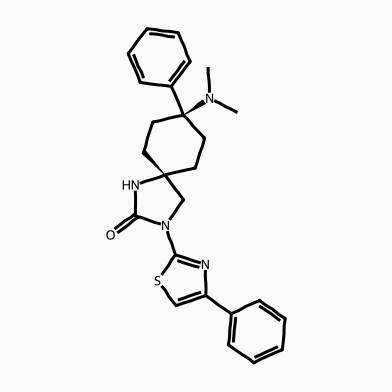 CN(C)[C@]1(c2ccccc2)CC[C@@]2(CC1)CN(c1nc(-c3ccccc3)cs1)C(=O)N2